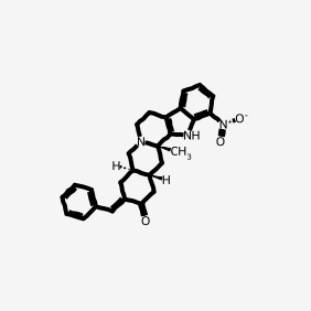 C[C@@]12C[C@@H]3CC(=O)/C(=C/c4ccccc4)C[C@H]3CN1CCc1c2[nH]c2c([N+](=O)[O-])cccc12